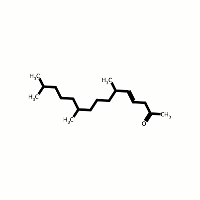 CC(=O)CC=CC(C)CCCC(C)CCCC(C)C